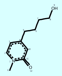 Cn1ccc(CCCCO)cc1=O